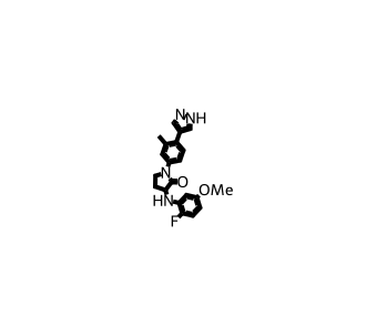 COc1ccc(F)c(NC2CCN(c3ccc(-c4cn[nH]c4)c(C)c3)C2=O)c1